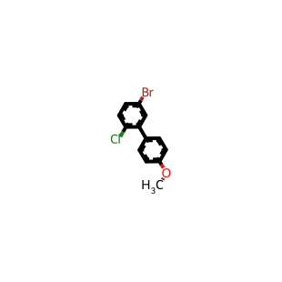 COc1ccc(-c2cc(Br)ccc2Cl)cc1